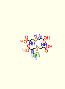 Cl.Cl.NC(CSSC[C@H](N)C(=O)O)C(=O)O.NC(CSSC[C@H](N)C(=O)O)C(=O)O